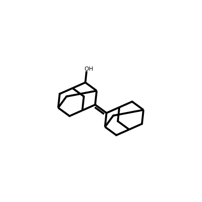 OC1C2CC3CC(C2)C(=C2C4CC5CC(C4)CC2C5)C1C3